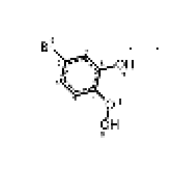 OOc1ccc(Br)cc1O